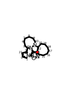 c1c[nH]c(C2CCCCCCN(C3CCCCCCCC3)N2c2conn2)c1